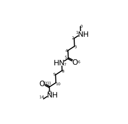 CNCCCC(=O)NCCCC(=O)NC